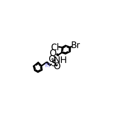 O=C(NS(=O)(=O)/C=C/c1ccccc1)c1ccc(Br)cc1Cl